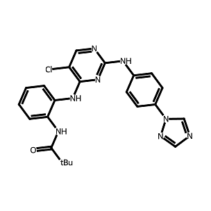 CC(C)(C)C(=O)Nc1ccccc1Nc1nc(Nc2ccc(-n3cncn3)cc2)ncc1Cl